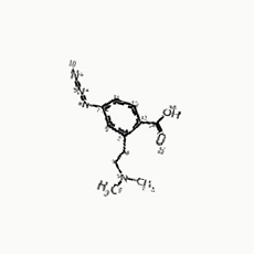 CN(C)CCc1cc(N=[N+]=[N-])ccc1C(=O)O